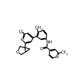 Cc1ccc(NC(=O)c2ccnc(C(F)(F)F)c2)cc1-c1cc(Cl)nc(C23COCC2C3)c1